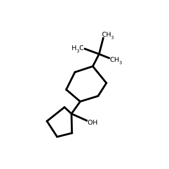 CC(C)(C)C1CCC(C2(O)CCCC2)CC1